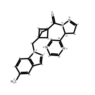 Cc1ccc2c(cnn2CC23CC(C(=O)N4N=CCC4c4cnccn4)(C2)C3)c1